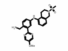 COc1cnc(-c2cc(Nc3cccc4c3CCN(S(C)(=O)=O)C4)ccc2CN)nc1